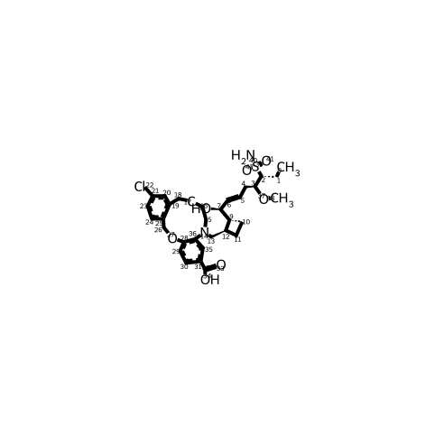 CC[C@H]([C@H](C/C=C/[C@H](O)[C@@H]1CC[C@H]1CN1CCCCc2cc(Cl)ccc2COc2ccc(C(=O)O)cc21)OC)S(N)(=O)=O